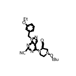 CCOc1cccc(Cn2ncc3c(N4CCN(OC(C)(C)C)CC4=C=O)nc(C#N)nc32)c1